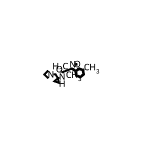 Cc1cccc2c(C(C)(C)C(=O)NC3(CN4CCC4)CC3)noc12